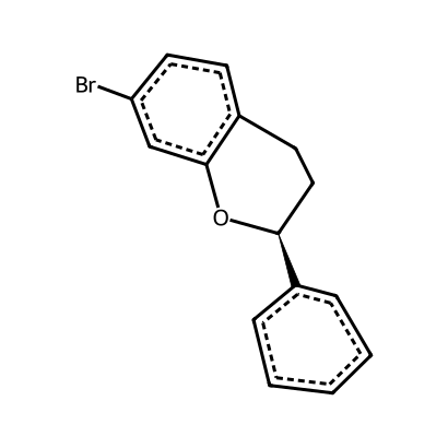 Brc1ccc2c(c1)O[C@H](c1ccccc1)CC2